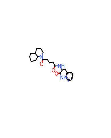 NC(=O)C(Cc1ccccc1)NC(=O)CCCC(=O)N1CCCC2CCCCC21